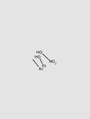 CC(C)=O.CCO.O=[N+]([O-])O